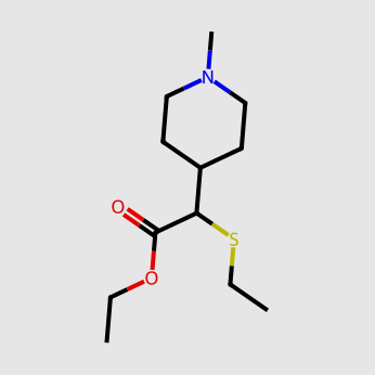 CCOC(=O)C(SCC)C1CCN(C)CC1